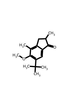 COc1c(C(C)(C)C)cc2c(c1C)CC(C)C2=O